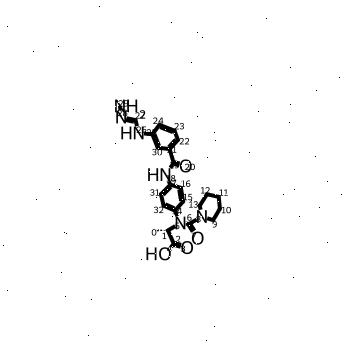 C[C@@H](C(=O)O)N(C(=O)N1CCCCC1)c1ccc(NC(=O)c2cccc(NC=NN)c2)cc1